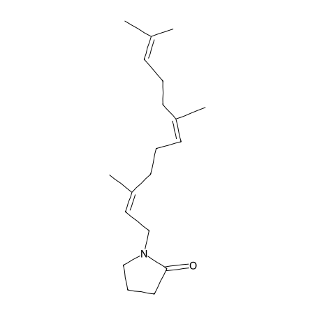 CC(C)=CCCC(C)=CCCC(C)=CCN1CCCC1=O